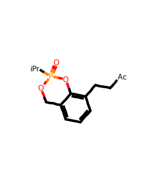 CC(=O)CCc1cccc2c1OP(=O)(C(C)C)OC2